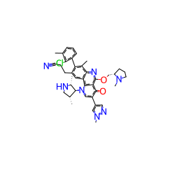 Cc1cccc(-c2c(CCC#N)cc3c(nc(OC[C@@H]4CCCN4C)c4c(=O)c(-c5cnn(C)c5)cn([C@H]5[C@H](C)CN[C@@H]5C)c43)c2C)c1Cl